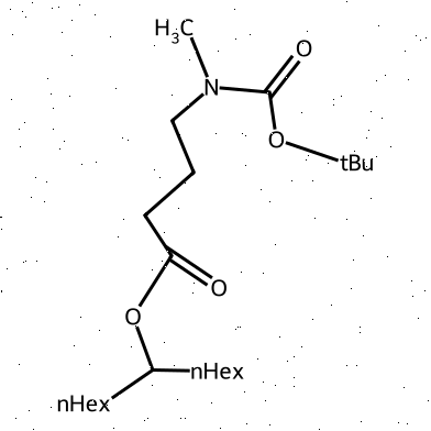 CCCCCCC(CCCCCC)OC(=O)CCCN(C)C(=O)OC(C)(C)C